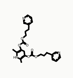 CC1=C(OC(=O)OCCCc2cccnc2)CC(OC(=O)OCCCc2cccnc2)=C(C)N1